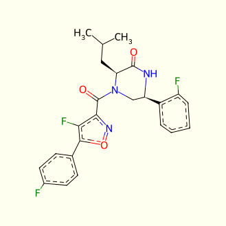 CC(C)C[C@H]1C(=O)N[C@@H](c2ccccc2F)CN1C(=O)c1noc(-c2ccc(F)cc2)c1F